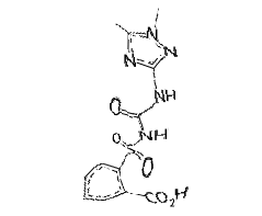 Cc1nc(NC(=O)NS(=O)(=O)c2ccccc2C(=O)O)nn1C